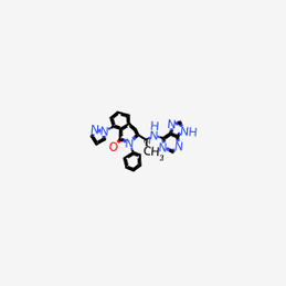 C[C@H](Nc1ncnc2[nH]cnc12)c1cc2cccc(-n3cccn3)c2c(=O)n1-c1ccccc1